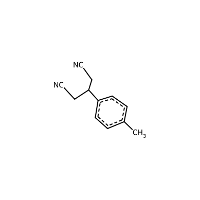 Cc1ccc(C(CC#N)CC#N)cc1